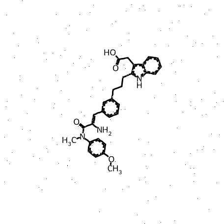 COc1ccc(N(C)C(=O)/C(N)=C/c2cccc(CCCc3[nH]c4ccccc4c3CC(=O)O)c2)cc1